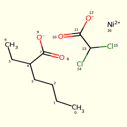 CCCCC(CC)C(=O)[O-].O=C([O-])C(Cl)Cl.[Ni+2]